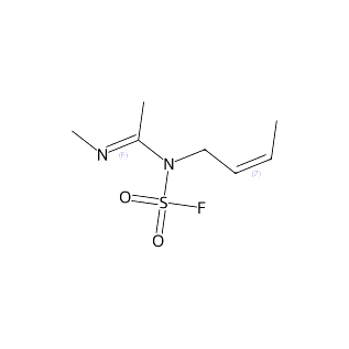 C/C=C\CN(/C(C)=N/C)S(=O)(=O)F